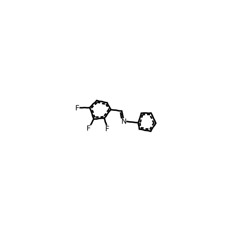 Fc1ccc(/C=N/c2ccccc2)c(F)c1F